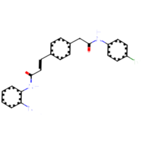 Nc1ccccc1NC(=O)/C=C/c1ccc(CC(=O)Nc2ccc(Br)cc2)cc1